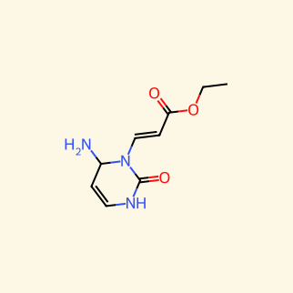 CCOC(=O)C=CN1C(=O)NC=CC1N